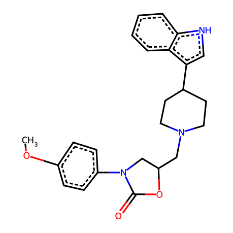 COc1ccc(N2CC(CN3CCC(c4c[nH]c5ccccc45)CC3)OC2=O)cc1